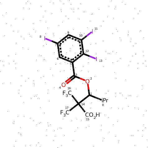 CC(C)C(OC(=O)c1cc(I)cc(I)c1I)C(C(=O)O)(C(F)(F)F)C(F)(F)F